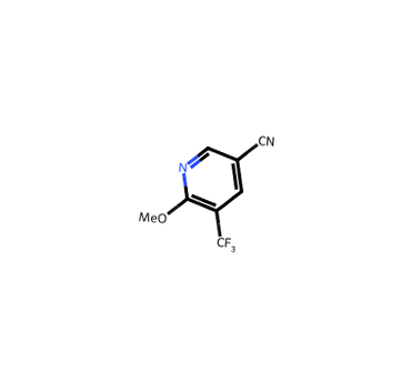 COc1ncc(C#N)cc1C(F)(F)F